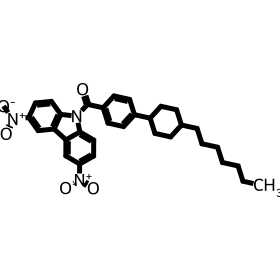 CCCCCCCC1CCC(c2ccc(C(=O)n3c4ccc([N+](=O)[O-])cc4c4cc([N+](=O)[O-])ccc43)cc2)CC1